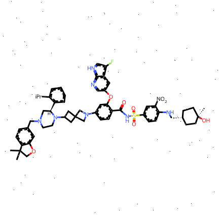 CC(C)c1ccccc1[C@@H]1CN(Cc2ccc3c(c2)OCC3(C)C)CCN1C1CC2(C1)CN(c1ccc(C(=O)NS(=O)(=O)c3ccc(NC[C@H]4CC[C@](C)(O)CC4)c([N+](=O)[O-])c3)c(Oc3cnc4[nH]cc(F)c4c3)c1)C2